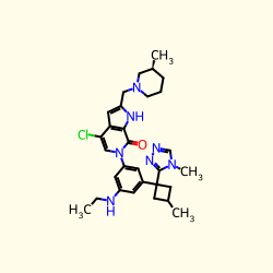 CCNc1cc(-n2cc(Cl)c3cc(CN4CCC[C@H](C)C4)[nH]c3c2=O)cc(C2(c3nncn3C)CC(C)C2)c1